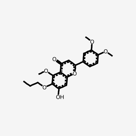 CCCOc1c(O)cc2oc(-c3ccc(OC)c(OC)c3)cc(=O)c2c1OC